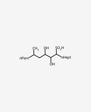 CCCCCCCC(C(O)C(O)CC(C)CCCCC)S(=O)(=O)O